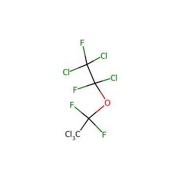 FC(Cl)(Cl)C(F)(Cl)OC(F)(F)C(Cl)(Cl)Cl